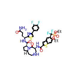 CCOP(=O)(OCC)C(F)(F)c1ccc2sc(C(=O)N[C@H]3CNCC[C@H]4CC[C@@H](C(=O)N[C@@H](CCC(N)=O)c5nc(-c6ccc(F)c(F)c6)cs5)N4C3=O)cc2c1